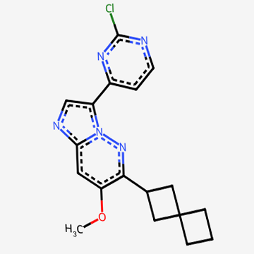 COc1cc2ncc(-c3ccnc(Cl)n3)n2nc1C1CC2(CCC2)C1